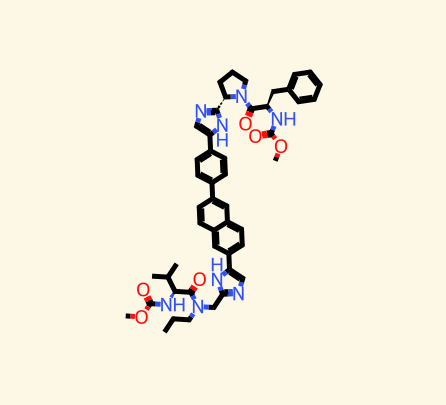 CCCN(Cc1ncc(-c2ccc3cc(-c4ccc(-c5cnc([C@@H]6CCCN6C(=O)[C@@H](Cc6ccccc6)NC(=O)OC)[nH]5)cc4)ccc3c2)[nH]1)C(=O)[C@@H](NC(=O)OC)C(C)C